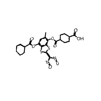 Cc1cc(OC(=O)C2CCCCC2)c2c(c1OC(=O)C1CCC(C(=O)O)CC1)SC(=C(N=O)N=O)S2